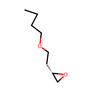 CCCCOCC[C@H]1CO1